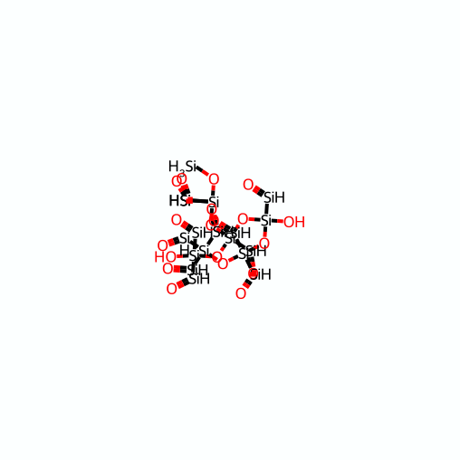 O=[SiH][Si](O)(O[Si](O[Si](O)([SiH]=O)[SiH]=O)(O[Si](O[SiH3])([SiH]=O)[SiH]=O)[SiH]=O)O[Si](O[Si]([SiH]=O)([SiH]=O)[SiH]=O)([SiH]=O)[SiH]=O